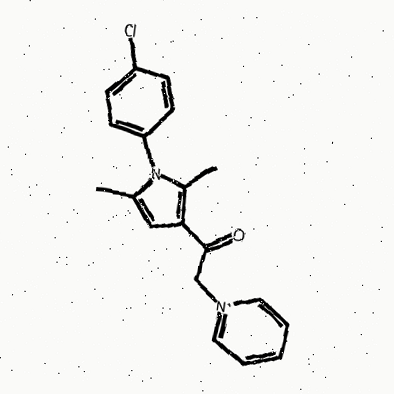 Cc1cc(C(=O)C[n+]2ccccc2)c(C)n1-c1ccc(Cl)cc1